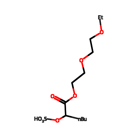 CCCCC(OS(=O)(=O)O)C(=O)OCCOCCOCC